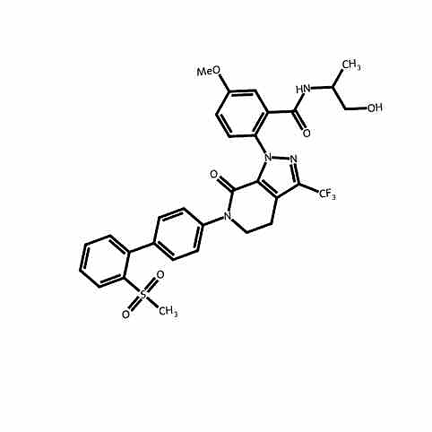 COc1ccc(-n2nc(C(F)(F)F)c3c2C(=O)N(c2ccc(-c4ccccc4S(C)(=O)=O)cc2)CC3)c(C(=O)NC(C)CO)c1